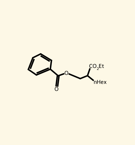 CCCCCCC(COC(=O)c1ccccc1)C(=O)OCC